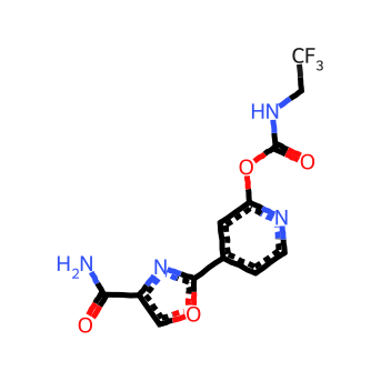 NC(=O)c1coc(-c2ccnc(OC(=O)NCC(F)(F)F)c2)n1